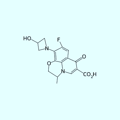 CC1COc2c(N3CC(O)C3)c(F)cc3c(=O)c(C(=O)O)cn1c23